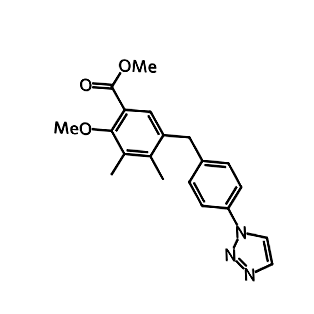 COC(=O)c1cc(Cc2ccc(-n3ccnn3)cc2)c(C)c(C)c1OC